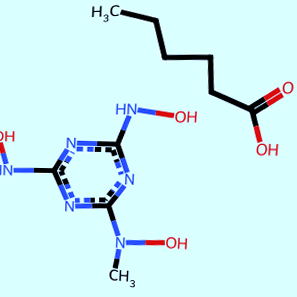 CCCCCC(=O)O.CN(O)c1nc(NO)nc(NO)n1